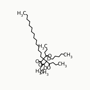 CCCCCCCCCCCCCCCC(C(=O)CCC)(C(=O)CCC)C(OCCCCC)(C(=O)CCC)C(=O)OC